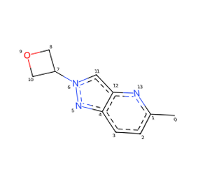 Cc1ccc2nn(C3COC3)cc2n1